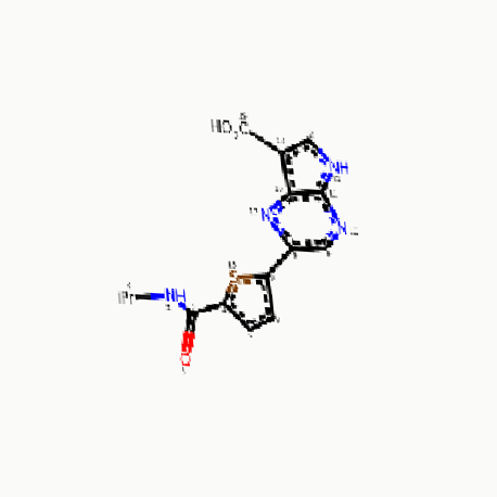 CC(C)NC(=O)c1ccc(-c2cnc3[nH]cc(C(=O)O)c3n2)s1